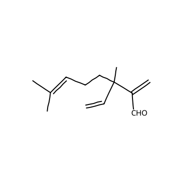 C=CC(C)(CCC=C(C)C)C(=C)C=O